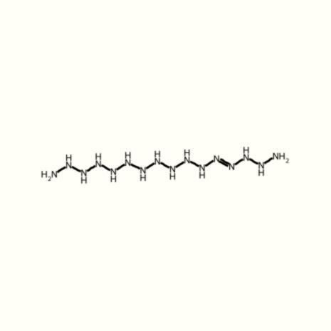 NNNN=NNNNNNNNNNNN